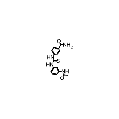 CC(=O)Nc1cccc(NC(=S)Nc2ccc(C(N)=O)cc2)c1